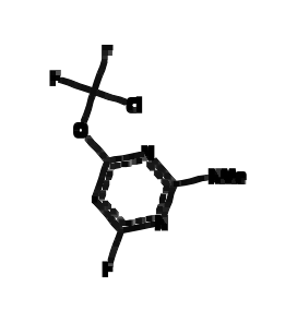 CNc1nc(F)cc(OC(F)(F)Cl)n1